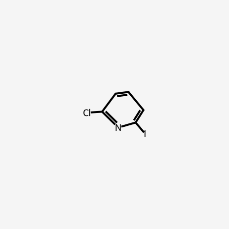 Clc1cccc(I)n1